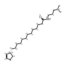 CN(C)CCCNC(=O)CCCCCCCCCCCC[C@H]1C=CCC1